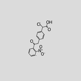 O=C(Cc1ccc(C(Cl)C(=O)O)cc1)c1ccc[c]c1[N+](=O)[O-]